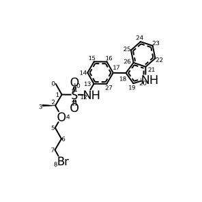 CC([C@H](C)OCCCBr)S(=O)(=O)Nc1cccc(-c2c[nH]c3ccccc23)c1